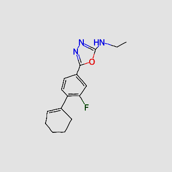 CCNc1nnc(-c2ccc(C3=CCCCC3)c(F)c2)o1